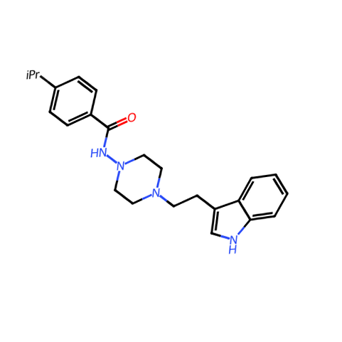 CC(C)c1ccc(C(=O)NN2CCN(CCc3c[nH]c4ccccc34)CC2)cc1